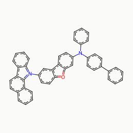 c1ccc(-c2ccc(N(c3ccccc3)c3ccc4c(c3)oc3ccc(-n5c6ccccc6c6ccc7ccccc7c65)cc34)cc2)cc1